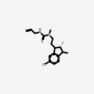 C=CCNC(=S)N(C)CCC1c2cc(Cl)ccc2C(C)[C@H]1C